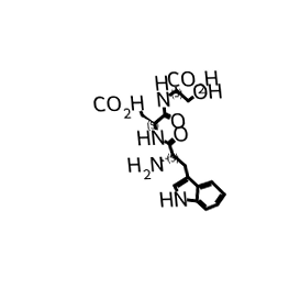 N[C@@H](Cc1c[nH]c2ccccc12)C(=O)N[C@@H](CC(=O)O)C(=O)N[C@@H](CO)C(=O)O